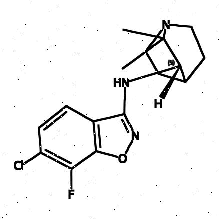 CC1(C)[C@@H](Nc2noc3c(F)c(Cl)ccc23)C2CCN1CC2